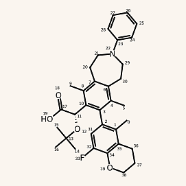 Cc1c(-c2c(C)c3c(c(C)c2[C@H](OC(C)(C)C)C(=O)O)CCN(c2ccccc2)CC3)cc(F)c2c1CCCO2